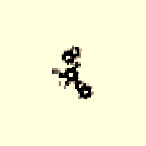 N=Cc1cc(Nc2nccc3sccc23)cc(-c2cc3ccccc3s2)c1N